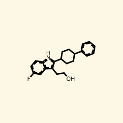 OCCc1c(C2CCC(c3ccccc3)CC2)[nH]c2ccc(F)cc12